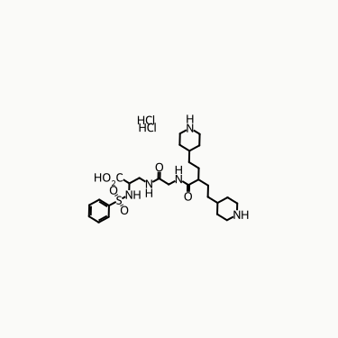 Cl.Cl.O=C(CNC(=O)C(CCC1CCNCC1)CCC1CCNCC1)NCC(NS(=O)(=O)c1ccccc1)C(=O)O